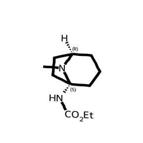 CCOC(=O)N[C@]12CCC[C@H](CC1)N2C